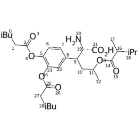 CCC(C)CC(=O)Oc1ccc(C(CC(C)OC(=O)C(C)C(C)C)[C@H](N)C(=O)O)cc1OC(=O)CC(C)CC